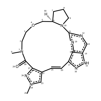 CN1CCOC[C@H]2CCCN2c2ncc3[nH]nc(c3n2)/C=C/c2cn(C)nc2C1=O